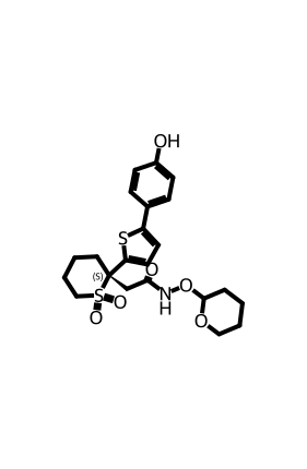 O=C(C[C@]1(c2ccc(-c3ccc(O)cc3)s2)CCCCS1(=O)=O)NOC1CCCCO1